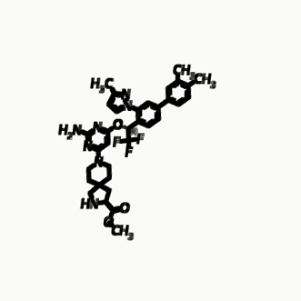 COC(=O)C1CC2(CCN(c3cc(O[C@H](c4ccc(-c5ccc(C)c(C)c5)cc4-n4ccc(C)n4)C(F)(F)F)nc(N)n3)CC2)CN1